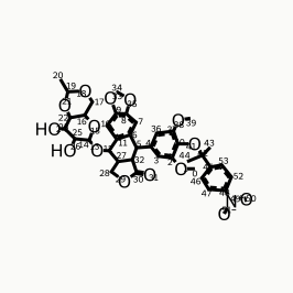 COc1cc(C2c3cc4c(cc3C(OC3OC5COC(C)OC5C(O)C3O)C3COC(=O)C23)OCO4)cc(OC)c1OC(C)(C)c1ccc([N+](=O)[O-])cc1